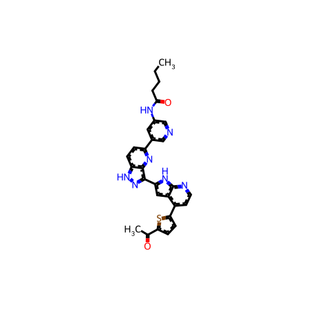 CCCCC(=O)Nc1cncc(-c2ccc3[nH]nc(-c4cc5c(-c6ccc(C(C)=O)s6)ccnc5[nH]4)c3n2)c1